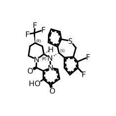 O=C1c2c(O)c(=O)ccn2N([C@@H]2c3ccccc3SCc3c2ccc(F)c3F)[C@@H]2C[C@H](C(F)(F)F)CCN12